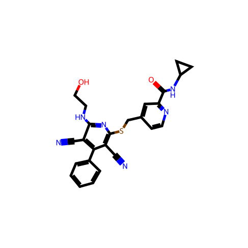 N#Cc1c(NCCO)nc(SCc2ccnc(C(=O)NC3CC3)c2)c(C#N)c1-c1ccccc1